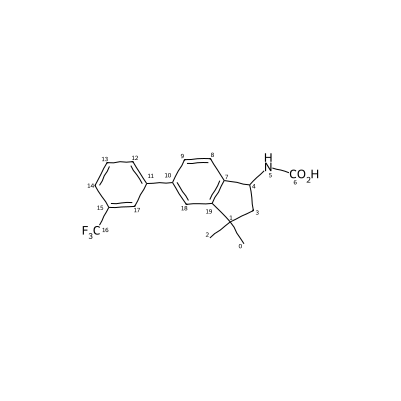 CC1(C)CC(NC(=O)O)c2ccc(-c3cccc(C(F)(F)F)c3)cc21